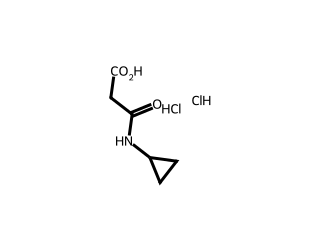 Cl.Cl.O=C(O)CC(=O)NC1CC1